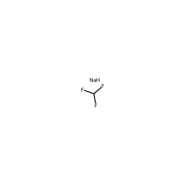 F[C](F)F.[NaH]